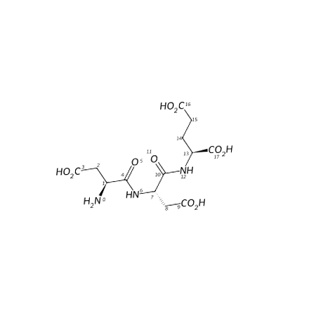 N[C@@H](CC(=O)O)C(=O)N[C@@H](CC(=O)O)C(=O)N[C@@H](CCC(=O)O)C(=O)O